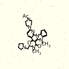 CC(=O)N1CCN(c2ccc3c(=O)c(C(=O)N(C)CCN4CCCC4)c4n(C)c5ccccc5n4c3n2)CC1